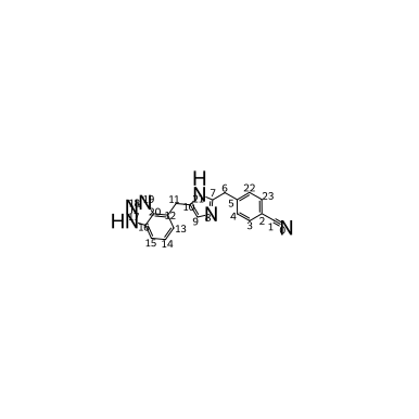 N#Cc1ccc(Cc2ncc(Cc3cccc4[nH]nnc34)[nH]2)cc1